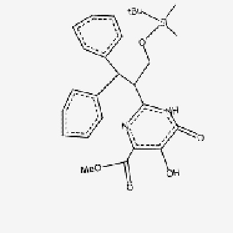 COC(=O)c1nc(C(CO[Si](C)(C)C(C)(C)C)C(c2ccccc2)c2ccccc2)[nH]c(=O)c1O